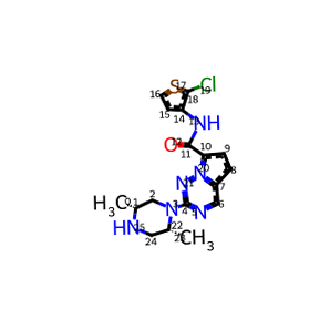 C[C@@H]1CN(c2ncc3ccc(C(=O)Nc4ccsc4Cl)n3n2)[C@H](C)CN1